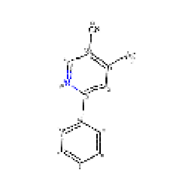 CC(=O)c1cc(-c2ccccc2)ncc1C#N